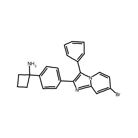 NC1(c2ccc(-c3nc4cc(Br)ccn4c3-c3ccccc3)cc2)CCC1